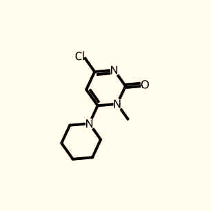 Cn1c(N2CCCCC2)cc(Cl)nc1=O